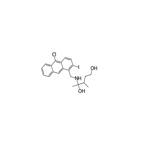 CC(CCO)C(C)(O)NCc1c(I)ccc2c(Cl)c3ccccc3cc12